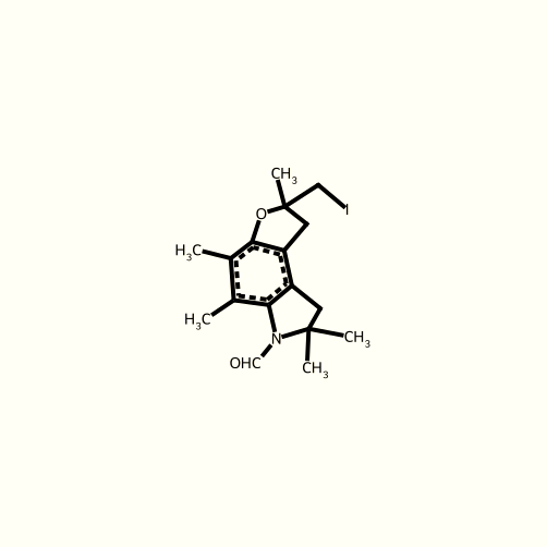 Cc1c(C)c2c(c3c1OC(C)(CI)C3)CC(C)(C)N2C=O